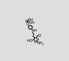 Nc1nc(O)c(CCCNc2ccc(OP(=O)(O)O)cc2)c(C=O)n1